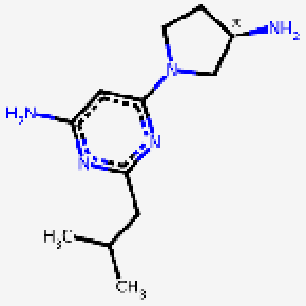 CC(C)Cc1nc(N)cc(N2CC[C@@H](N)C2)n1